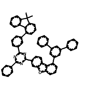 CC1(C)c2ccccc2-c2c(-c3cccc(-c4nc(-c5ccccc5)nc(-c5ccc6c(c5)oc5cccc(-c7cc(-c8ccccc8)cc(-c8ccccc8)c7)c56)n4)c3)cccc21